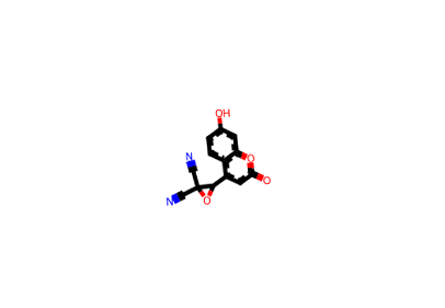 N#CC1(C#N)OC1c1cc(=O)oc2cc(O)ccc12